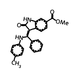 COC(=O)c1ccc2c(c1)NC(=O)/C2=C(\Nc1ccc(C)cc1)c1ccccc1